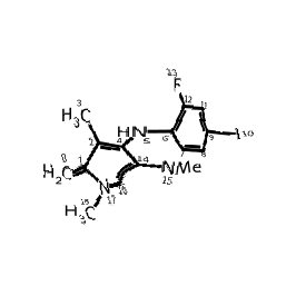 C=C1C(C)=C(Nc2ccc(I)cc2F)C(NC)=CN1C